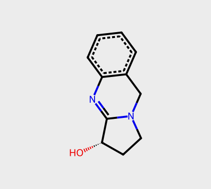 O[C@H]1CCN2Cc3ccccc3N=C12